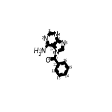 Nc1ncnc2ncn(C(=O)c3ccccc3)c12